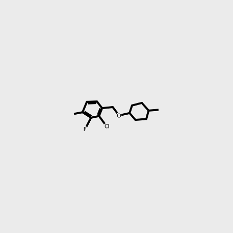 Cc1ccc(COC2CCC(C)CC2)c(Cl)c1F